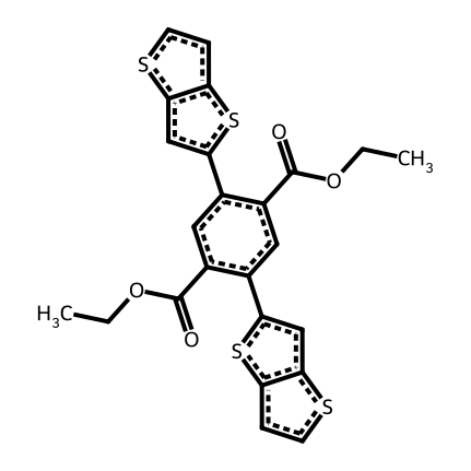 CCOC(=O)c1cc(-c2cc3sccc3s2)c(C(=O)OCC)cc1-c1cc2sccc2s1